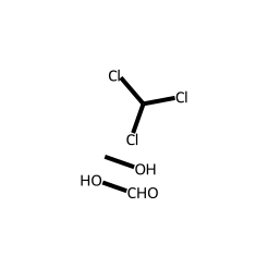 CO.ClC(Cl)Cl.O=CO